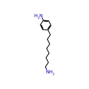 NCCCCCCCCc1ccc(N)cc1